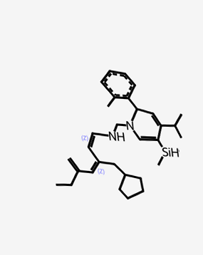 C=C(/C=C(\C=C/NCN1C=C([SiH](C)C)C(C(C)C)=CC1c1ccccc1C)CC1CCCC1)CC